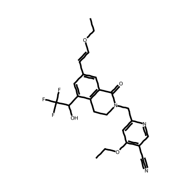 CCOC=Cc1cc2c(c(C(O)C(F)(F)F)c1)CCN(Cc1cc(OCC)c(C#N)cn1)C2=O